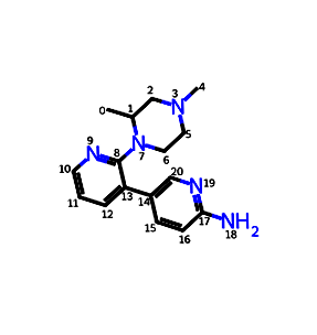 CC1CN(C)CCN1c1ncccc1-c1ccc(N)nc1